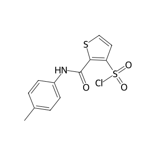 Cc1ccc(NC(=O)c2sccc2S(=O)(=O)Cl)cc1